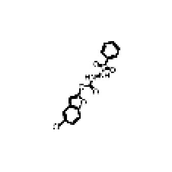 O=C(NNS(=O)(=O)c1ccccc1)Oc1cc2cc(Cl)ccc2o1